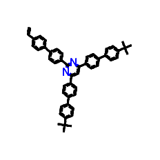 C=Cc1ccc(-c2ccc(-c3nc(-c4ccc(-c5ccc(C(C)(C)C)cc5)cc4)cc(-c4ccc(-c5ccc(C(C)(C)C)cc5)cc4)n3)cc2)cc1